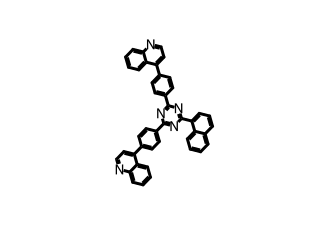 c1ccc2c(-c3nc(-c4ccc(-c5ccnc6ccccc56)cc4)nc(-c4ccc(-c5ccnc6ccccc56)cc4)n3)cccc2c1